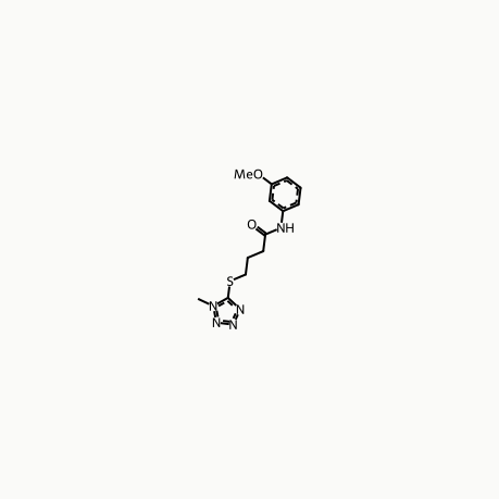 COc1cccc(NC(=O)CCCSc2nnnn2C)c1